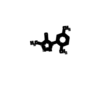 Cc1ccc(C)c(-n2nnn(C)c2=O)c1